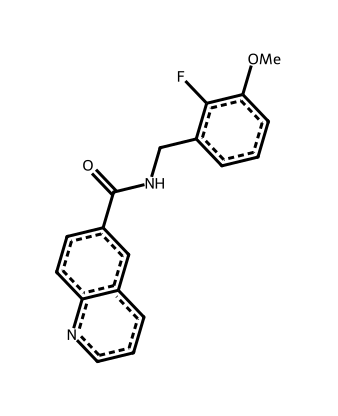 COc1cccc(CNC(=O)c2ccc3ncccc3c2)c1F